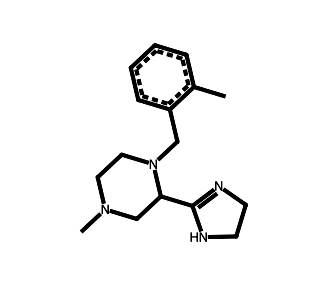 Cc1ccccc1CN1CCN(C)CC1C1=NCCN1